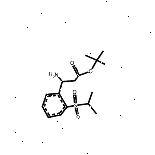 CC(C)S(=O)(=O)c1ccccc1C(N)CC(=O)OC(C)(C)C